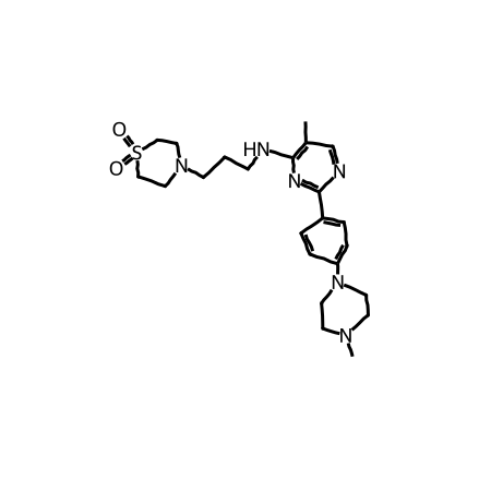 Cc1cnc(-c2ccc(N3CCN(C)CC3)cc2)nc1NCCCN1CCS(=O)(=O)CC1